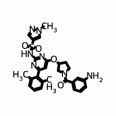 Cc1cccc(C)c1-c1cc(OC2CCN(C(=O)c3cccc(N)c3)C2)nc(NS(=O)(=O)c2cnn(C)c2)n1